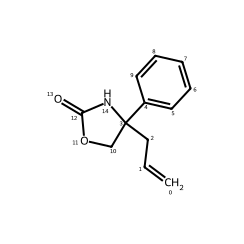 C=CCC1(c2ccccc2)COC(=O)N1